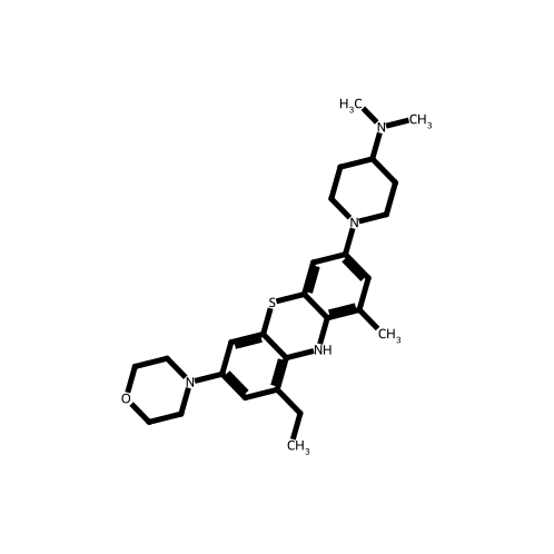 CCc1cc(N2CCOCC2)cc2c1Nc1c(C)cc(N3CCC(N(C)C)CC3)cc1S2